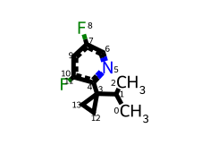 CC(C)C1(c2ncc(F)cc2F)CC1